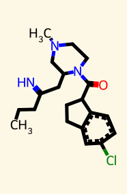 CCCC(=N)CC1CN(C)CCN1C(=O)C1CCc2cc(Cl)ccc21